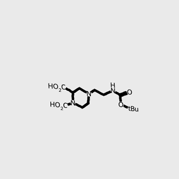 CC(C)(C)OC(=O)NCCN1CCN(C(=O)O)C(C(=O)O)C1